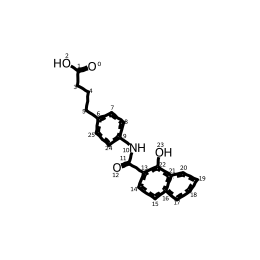 O=C(O)CCCc1ccc(NC(=O)c2ccc3ccccc3c2O)cc1